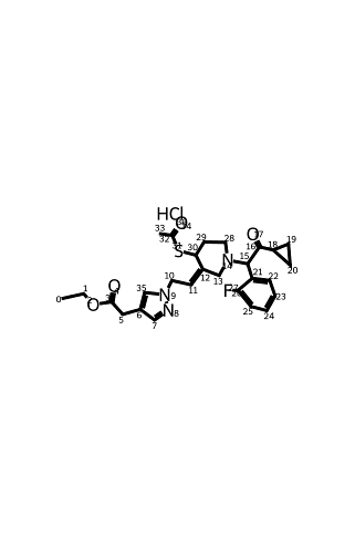 CCOC(=O)Cc1cnn(C/C=C2/CN(C(C(=O)C3CC3)c3ccccc3F)CCC2SC(C)=O)c1.Cl